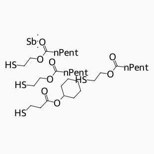 CCCCCC(=O)OCCS.CCCCCC(=O)OCCS.CCCCCC(=O)OCCS.O=C(CCS)OC1CCCCC1.[Sb]